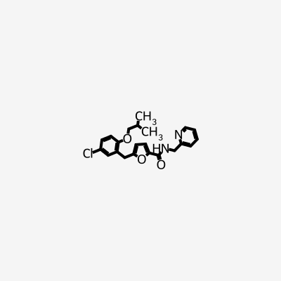 CC(C)COc1ccc(Cl)cc1Cc1ccc(C(=O)NCc2ccccn2)o1